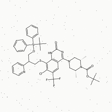 C[C@@H]1CN(c2nc(=O)[nH]c3c(SCC(CO[Si](c4ccccc4)(c4ccccc4)C(C)(C)C)c4ccccn4)c(Cl)c(C(F)(F)F)cc23)C[C@H](C)N1C(=O)OC(C)(C)C